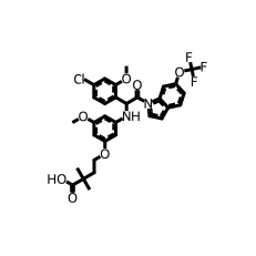 COc1cc(NC(C(=O)n2ccc3ccc(OC(F)(F)F)cc32)c2ccc(Cl)cc2OC)cc(OCCC(C)(C)C(=O)O)c1